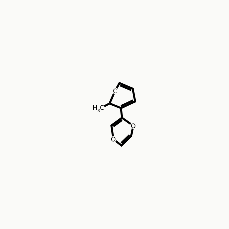 CC1CC=CC=C1C1=COC=[C]O1